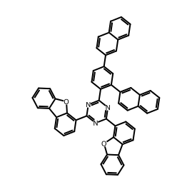 c1ccc2cc(-c3ccc(-c4nc(-c5cccc6c5oc5ccccc56)nc(-c5cccc6c5oc5ccccc56)n4)c(-c4ccc5ccccc5c4)c3)ccc2c1